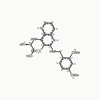 CCC[C@H](CO)Nc1c(C(=O)OCC)c(NCc2ccc(OC)cc2OC)nc2cccnc12